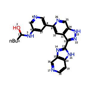 CCCCC(O)Nc1cncc(-c2cc3c(-c4nc5cnccc5[nH]4)n[nH]c3cn2)c1